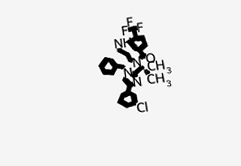 CC(C)[C@H](c1nc(-c2cccc(Cl)c2)cn1Cc1ccccc1)N(CCCN)C(=O)c1ccc(C(F)(F)F)cc1